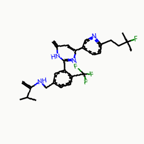 C=C1C=C(c2ccc(CCC(C)(C)F)nc2)N=C(c2cc(CNC(=C)C(C)C)ccc2C(F)(F)F)N1